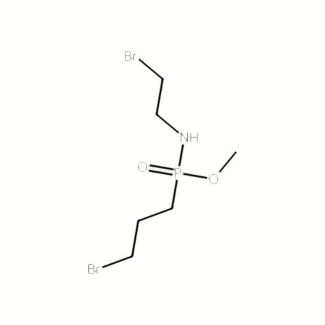 COP(=O)(CCCBr)NCCBr